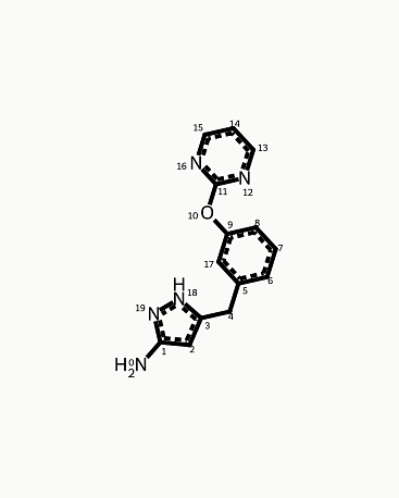 Nc1cc(Cc2cccc(Oc3ncccn3)c2)[nH]n1